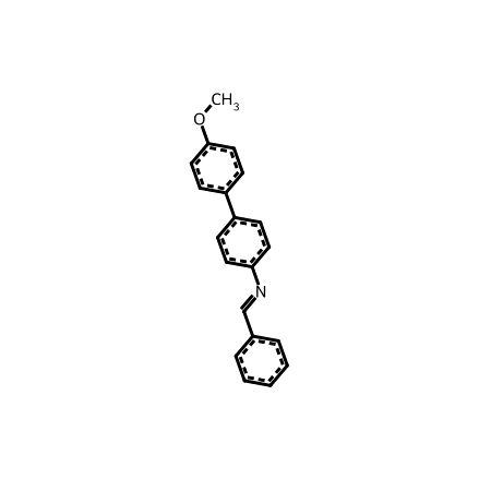 COc1ccc(-c2ccc(N=Cc3ccccc3)cc2)cc1